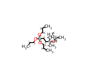 CCCO[Si](CC[Si](C)(C)O[SiH](C)C)(OCCC)OCCC